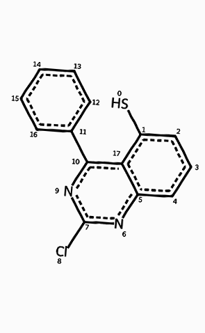 Sc1cccc2nc(Cl)nc(-c3ccccc3)c12